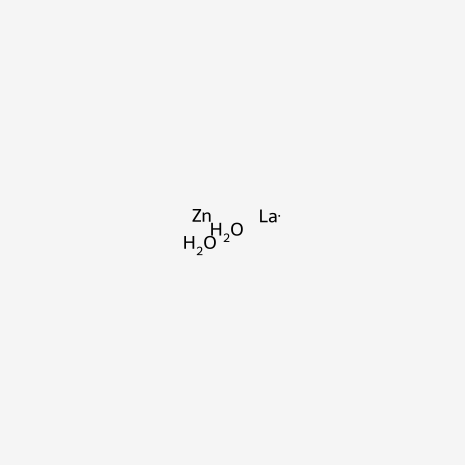 O.O.[La].[Zn]